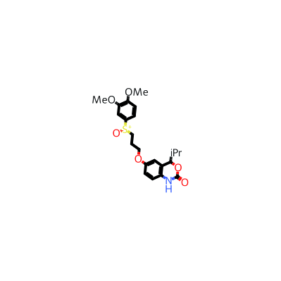 COc1ccc([S+]([O-])CCCOc2ccc3c(c2)C(C(C)C)OC(=O)N3)cc1OC